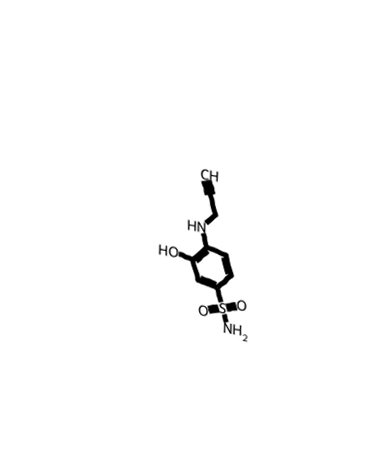 C#CCNc1ccc(S(N)(=O)=O)cc1O